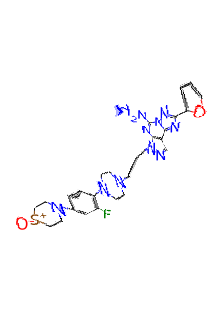 Nc1nc2c(cnn2CCN2CCN(c3ccc(N4CC[S+]([O-])CC4)cc3F)CC2)c2nc(-c3ccco3)nn12